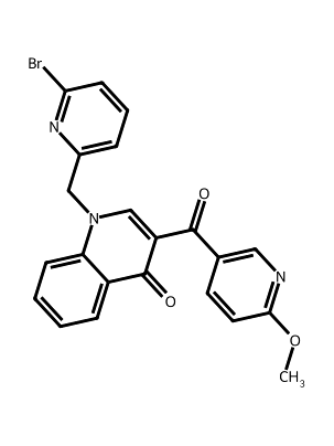 COc1ccc(C(=O)c2cn(Cc3cccc(Br)n3)c3ccccc3c2=O)cn1